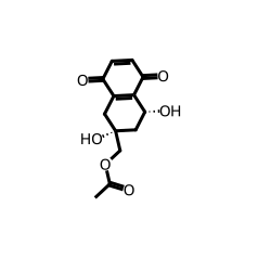 CC(=O)OC[C@@]1(O)CC2=C(C(=O)C=CC2=O)[C@H](O)C1